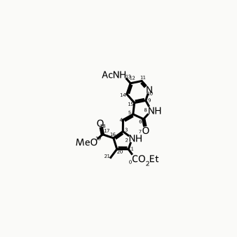 CCOC(=O)c1[nH]c(C=C2C(=O)Nc3ncc(NC(C)=O)cc32)c(C(=O)OC)c1C